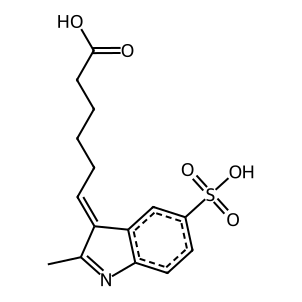 CC1=Nc2ccc(S(=O)(=O)O)cc2/C1=C\CCCCC(=O)O